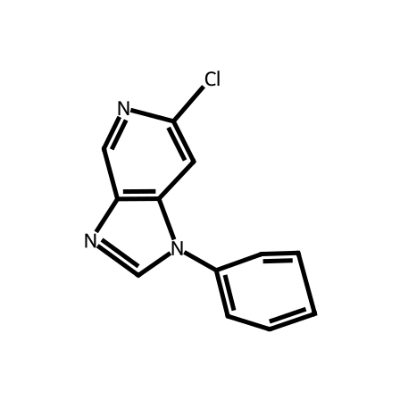 Clc1cc2c(cn1)ncn2-c1ccccc1